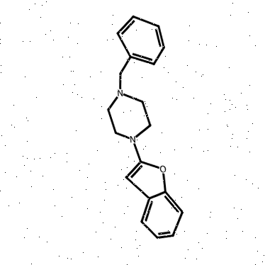 c1ccc(CN2CCN(c3cc4ccccc4o3)CC2)cc1